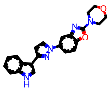 c1ccc2c(-c3ccn(-c4ccc5oc(N6CCOCC6)nc5c4)n3)c[nH]c2c1